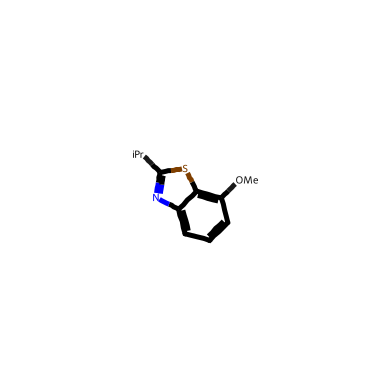 COc1cccc2nc(C(C)C)sc12